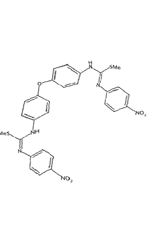 CSC(=Nc1ccc([N+](=O)[O-])cc1)Nc1ccc(Oc2ccc(NC(=Nc3ccc([N+](=O)[O-])cc3)SC)cc2)cc1